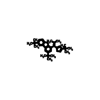 C[C](C)=[Zr]([C]1=CC(C(C)(C)C)=CC1)[c]1cc(C(C)(C)C)cc2c1Cc1ccc(C(C)(C)C)cc1-2